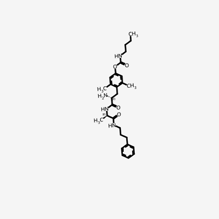 CCCCNC(=O)Oc1cc(C)c(C[C@@H](N)C(=O)N[C@H](C)C(=O)NCCCc2ccccc2)c(C)c1